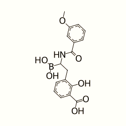 COc1cccc(C(=O)NC(Cc2cccc(C(=O)O)c2O)B(O)O)c1